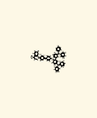 O=c1ccn(-c2ccc(-c3ccc(-n4c5ccc(N(c6ccccc6)c6ccccc6)cc5c5cc(N(c6ccccc6)c6ccccc6)ccc54)cc3)cc2)c2ccccc12